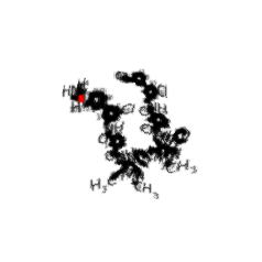 CCc1nc2c(cnn2CC)c(NC2CCOCC2)c1CNC(=O)c1cccc(C(=O)NCc2cc(Cl)cc(-c3cccc(C=O)c3)c2)c1.CCc1nc2c(cnn2CC)c(NC2CCOCC2)c1CNC(=O)c1cccc(C(=O)NCc2cc(Cl)cc(-c3cccc(CN4C[C@@H]5C[C@H]4CN5)c3)c2)c1